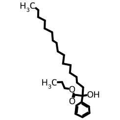 CCCCCCCCCCCCCCCCC(O)(C(=O)OCCC)c1ccccc1